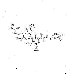 CCNC(=O)Nc1cc(-c2nc(C(F)(F)F)cs2)c(-c2ccc3c(c2)c(=O)c(C(=O)NCCCOP(=O)(O)O)cn3C2CC2)cn1